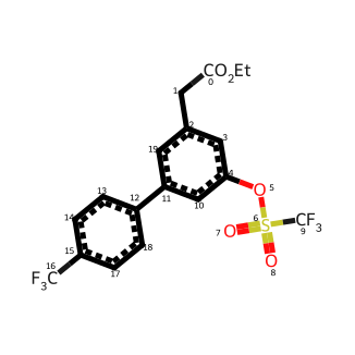 CCOC(=O)Cc1cc(OS(=O)(=O)C(F)(F)F)cc(-c2ccc(C(F)(F)F)cc2)c1